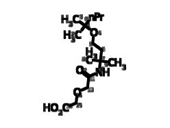 CCCC(C)(C)OCCC(C)(C)NC(=O)COCC(=O)O